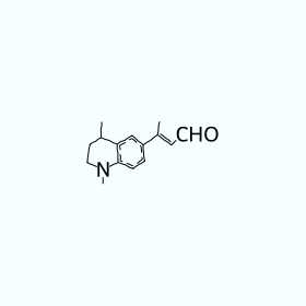 C/C(=C\C=O)c1ccc2c(c1)C(C)CCN2C